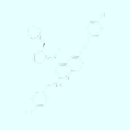 O=C(c1cc(NCc2ccc(C(F)(F)F)cc2)nc2ccc(C#Cc3ccc(Cl)cc3)cc12)N1CCC[C@H]1CN1CCCC1